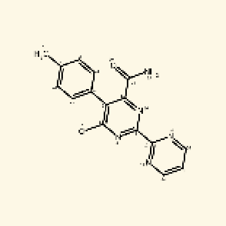 Cc1ccc(-c2c(Cl)nc(-c3ncccn3)nc2C(N)=O)cc1